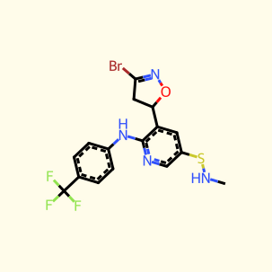 CNSc1cnc(Nc2ccc(C(F)(F)F)cc2)c(C2CC(Br)=NO2)c1